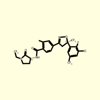 Cc1cc(C2=NO[C@](c3cc(C(F)(F)F)cc(Cl)c3F)(C(F)(F)F)C2)ccc1C(=O)N[C@@H]1CCN(CC(F)(F)F)C1=O